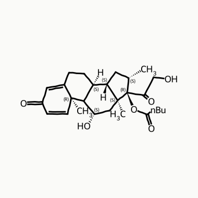 CCCCC(=O)O[C@]1(C(=O)CO)[C@@H](C)C[C@H]2[C@@H]3CCC4=CC(=O)C=C[C@]4(C)C3[C@@H](O)C[C@@]21C